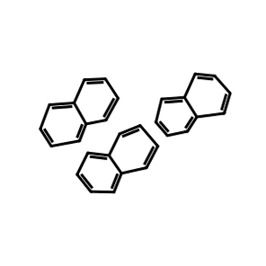 c1ccc2ccccc2c1.c1ccc2ccccc2c1.c1ccc2ccccc2c1